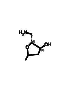 CC1C[C@H](O)[C@@H](CN)O1